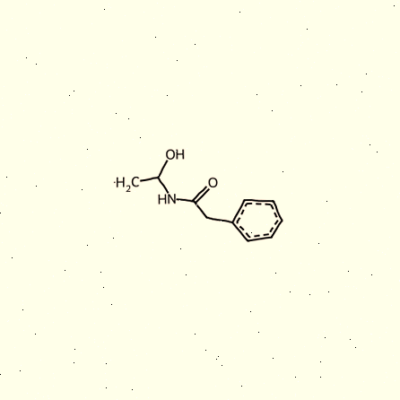 [CH2]C(O)NC(=O)Cc1ccccc1